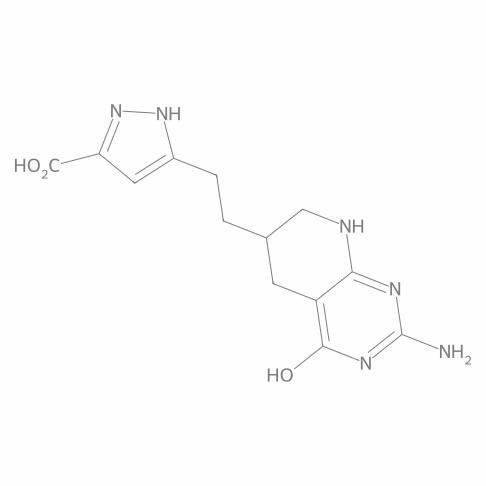 Nc1nc(O)c2c(n1)NCC(CCc1cc(C(=O)O)n[nH]1)C2